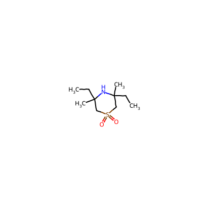 CCC1(C)CS(=O)(=O)CC(C)(CC)N1